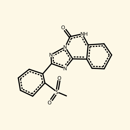 CS(=O)(=O)c1ccccc1-c1nc2c3ccccc3[nH]c(=O)n2n1